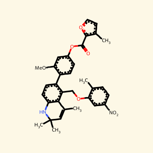 COc1cc(OC(=O)c2occc2C)ccc1-c1ccc2c(c1COc1cc([N+](=O)[O-])ccc1C)C(C)=CC(C)(C)N2